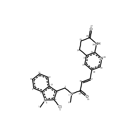 CN(Cc1c(Cl)n(C)c2ccccc12)C(=O)C=Cc1cnc2c(c1)CCC(=O)N2